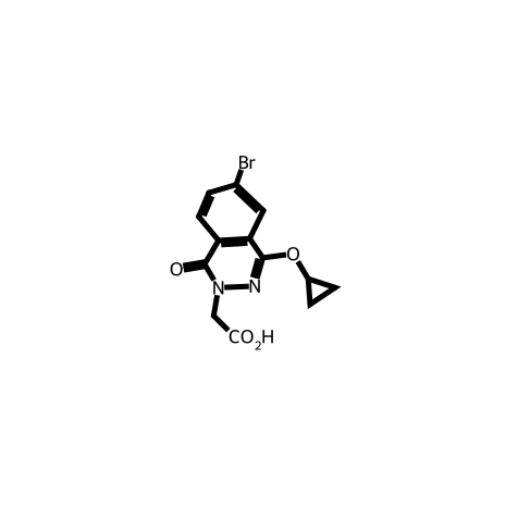 O=C(O)Cn1nc(OC2CC2)c2cc(Br)ccc2c1=O